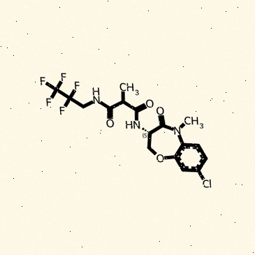 CC(C(=O)NCC(F)(F)C(F)(F)F)C(=O)N[C@H]1COc2cc(Cl)ccc2N(C)C1=O